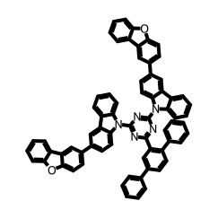 c1ccc(-c2ccc(-c3ccccc3)c(-c3nc(-n4c5ccccc5c5cc(-c6ccc7oc8ccccc8c7c6)ccc54)nc(-n4c5ccccc5c5cc(-c6ccc7oc8ccccc8c7c6)ccc54)n3)c2)cc1